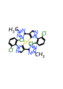 Cn1nnc(-c2cnn(-c3c(Cl)cccc3Cl)c2SSc2c(-c3nnn(C)n3)cnn2-c2c(Cl)cccc2Cl)n1